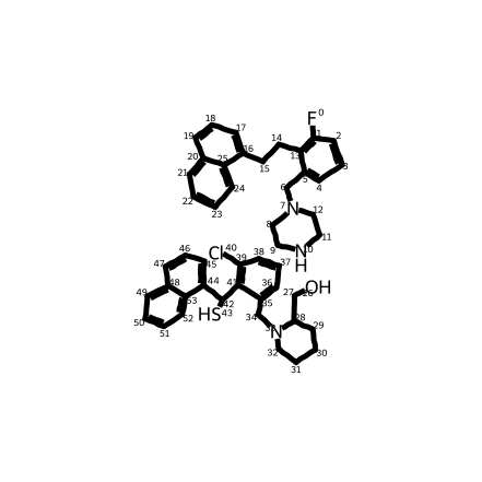 Fc1cccc(CN2CCNCC2)c1CCc1cccc2ccccc12.OCC1CCCCN1Cc1cccc(Cl)c1C(S)c1cccc2ccccc12